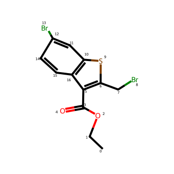 CCOC(=O)c1c(CBr)sc2cc(Br)ccc12